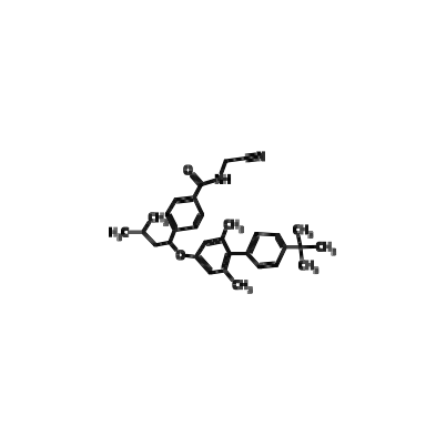 Cc1cc(OC(CC(C)C)c2ccc(C(=O)NCC#N)cc2)cc(C)c1-c1ccc(C(C)(C)C)cc1